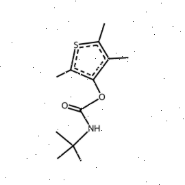 Cc1sc(C)c(OC(=O)NC(C)(C)C)c1C